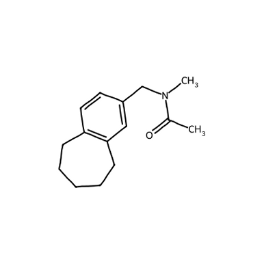 CC(=O)N(C)Cc1ccc2c(c1)CCCCC2